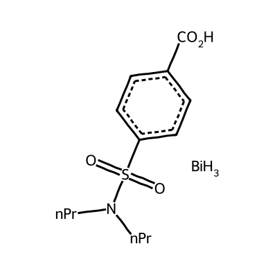 CCCN(CCC)S(=O)(=O)c1ccc(C(=O)O)cc1.[BiH3]